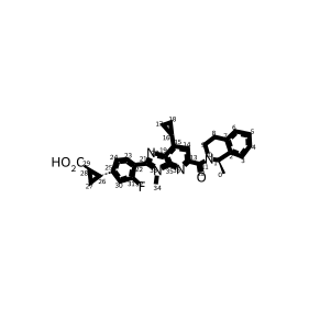 C[C@@H]1c2ccccc2CCN1C(=O)c1cc(C2CC2)c2nc(-c3ccc([C@@H]4C[C@H]4C(=O)O)cc3F)n(C)c2n1